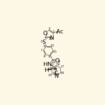 CC(=O)c1coc(Sc2ccc(C(=O)N[C@H]3CN4CCC3CC4)cc2)n1